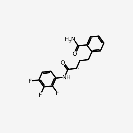 NC(=O)c1ccccc1CC[CH]C(=O)Nc1ccc(F)c(F)c1F